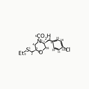 CCSC[C@H]1CN(C(=O)O)[C@@H](Cc2ccc(Cl)cc2)CO1